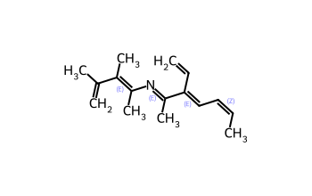 C=CC(=C\C=C/C)/C(C)=N/C(C)=C(\C)C(=C)C